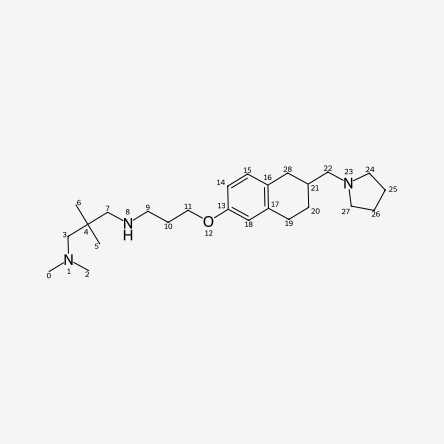 CN(C)CC(C)(C)CNCCCOc1ccc2c(c1)CCC(CN1CCCC1)C2